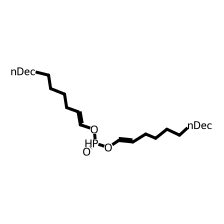 CCCCCCCCCCCCCC/C=C/O[PH](=O)O/C=C/CCCCCCCCCCCCCC